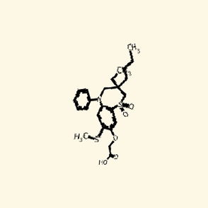 CCCCC1(CC)CN(c2ccccc2)c2cc(SC)c(OCC(=O)O)cc2S(=O)(=O)C1